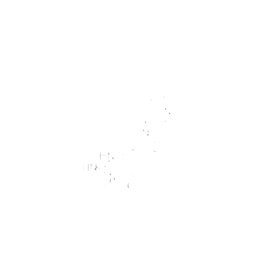 CC#Cc1cnc2cc3ccc(C4(C)CC(=O)N(C)C(=N)N4)cn3c2c1